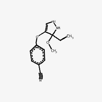 CCC1(OC)NNC=C1Oc1ccc(C#N)cc1